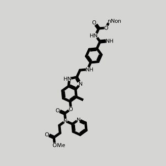 CCCCCCCCCOC(=O)NC(=N)c1ccc(NCc2nc3c(C)c(OC(=O)N(CCC(=O)OC)c4ccccn4)ccc3[nH]2)cc1